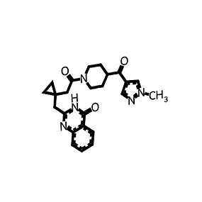 Cn1cc(C(=O)C2CCN(C(=O)CC3(Cc4nc5ccccc5c(=O)[nH]4)CC3)CC2)cn1